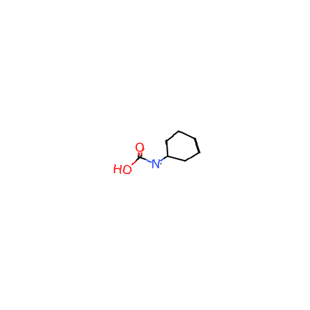 O=C(O)[N]C1CCCCC1